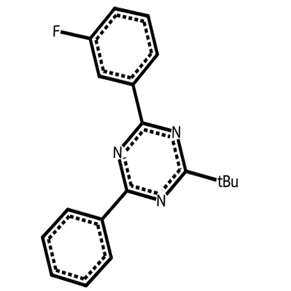 CC(C)(C)c1nc(-c2ccccc2)nc(-c2cccc(F)c2)n1